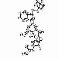 Cc1nc([C@@]2(C)C(=O)Nc3nc(-c4nn(CCC(F)(F)C(F)(F)F)c5ncccc45)nc(N)c32)sc1CC(=O)O